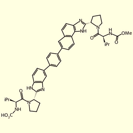 COC(=O)N[C@H](C(=O)N1CCC[C@H]1c1nc2ccc3cc(-c4ccc(-c5ccc6[nH]c([C@@H]7CCCN7C(=O)[C@@H](NC(=O)O)C(C)C)nc6c5)cc4)ccc3c2[nH]1)C(C)C